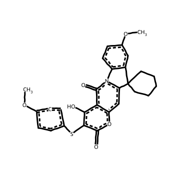 COc1ccc(Sc2c(O)c3c(=O)n4c(cc3oc2=O)C2(CCCCC2)c2cc(OC)ccc2-4)cc1